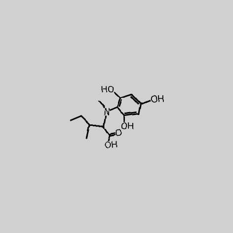 CCC(C)C(C(=O)O)N(C)c1c(O)cc(O)cc1O